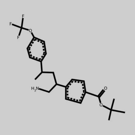 CC(CC(CN)c1ccc(C(=O)OC(C)(C)C)cc1)c1ccc(OC(F)(F)F)cc1